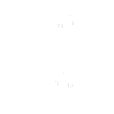 O=[SH]Nc1ccc2cc(-c3cccc(-n4ccc(=O)[nH]c4=O)c3)ccc2c1